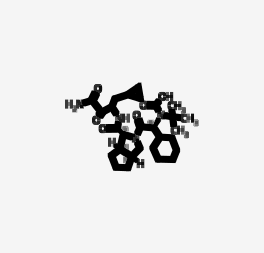 CC(C)(C)N(C(=O)O)[C@H](C(=O)N1C[C@@H]2CCC[C@@H]2[C@H]1C(=O)NC(CC1CC1)C(=O)C(N)=O)C1CCCCC1